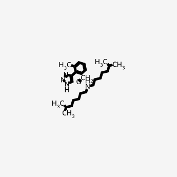 C=O.CC(C)CCCCCNCCCCCC(C)C.Cc1ccccc1-c1c[nH]nn1